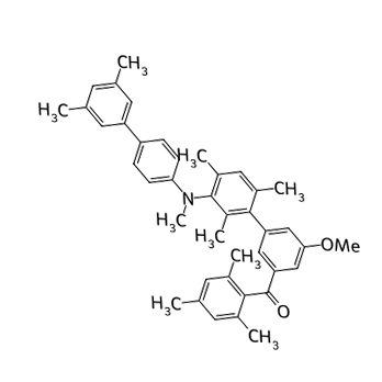 COc1cc(C(=O)c2c(C)cc(C)cc2C)cc(-c2c(C)cc(C)c(N(C)c3ccc(-c4cc(C)cc(C)c4)cc3)c2C)c1